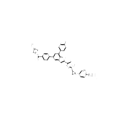 Nc1ccc([C@H]2CC2c2nc(-c3cc4cc(-c5ccc(C(=O)N6CC(F)C6)cc5)cc(-c5ccc(F)cc5)c4o3)co2)cn1